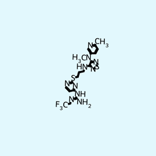 Cc1ccc(N(C)c2nsnc2NCCCSc2nccc(NC(N)=NCC(F)(F)F)n2)cn1